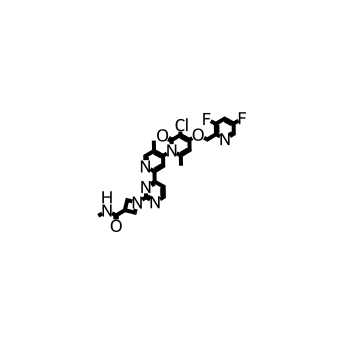 CNC(=O)C1CN(c2nccc(-c3cc(-n4c(C)cc(OCc5ncc(F)cc5F)c(Cl)c4=O)c(C)cn3)n2)C1